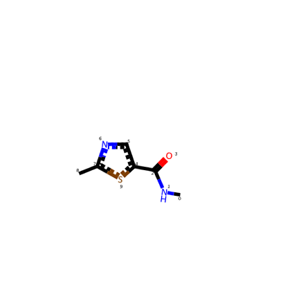 CNC(=O)c1cnc(C)s1